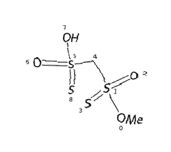 COS(=O)(=S)CS(=O)(O)=S